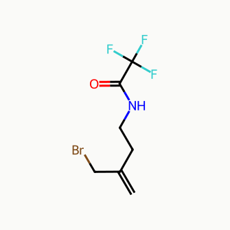 C=C(CBr)CCNC(=O)C(F)(F)F